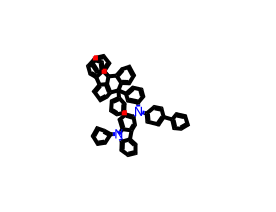 c1ccc(-c2ccc(N(c3cccc(C4(c5ccccc5)c5ccccc5C5(c6ccccc6)c6ccccc6-c6cccc4c65)c3)c3ccc4c(c3)c3ccccc3n4-c3ccccc3)cc2)cc1